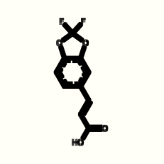 O=C(O)C=Cc1ccc2c(c1)OC(F)(F)O2